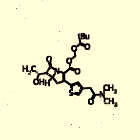 C[C@@H](O)[C@H]1C(=O)N2C(C(=O)OCOC(=O)C(C)(C)C)=C(c3cc(CC(=O)N(C)C)cs3)C[C@H]12